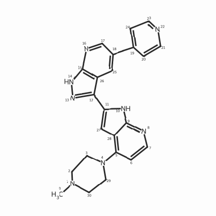 CN1CCN(c2ccnc3[nH]c(-c4n[nH]c5ncc(-c6ccncc6)cc45)cc23)CC1